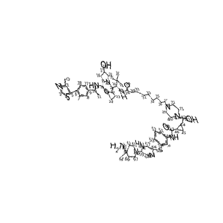 Cc1ncsc1-c1ccc([C@H](C)NC(=O)[C@@H]2CC(O)CN2C(C2CCC2)[C@@H](NC(=O)CCCCCCCCN2CCN(C(O)C3CC3C(=O)Nc3cccc(SC4=CNC(N5CCC(C)(N)CC5)C=N4)c3)CC2)C(C)(C)C)cc1